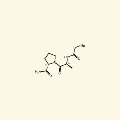 C[C@H](NC(=O)OC(C)(C)C)C(=O)N1CCC[C@H]1C(N)=O